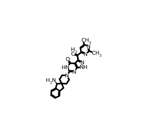 C=C(c1cc(C)nc(C)n1)c1n[nH]c2nc(N3CCC4(CC3)Cc3ccccc3[C@H]4N)[nH]c(=O)c12